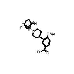 COc1ccc(C(=O)C(C)C)cc1C1CCN([C@@H]2C[C@H]3CC[C@H]2C3)CC1